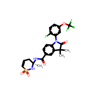 CC1(C)C(=O)N(c2cc(OC(F)(F)F)ccc2F)c2ccc(C(=O)N[C@]3(C)CC=CS(=O)(=O)N3)cc21